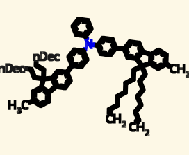 C=CCCCCCCC1(CCCCCCC=C)c2cc(C)ccc2-c2ccc(-c3ccc(N(c4ccccc4)c4ccc(-c5ccc6c(c5)C(CCCCCCCCCCCC)(CCCCCCCCCCCC)c5cc(C)ccc5-6)cc4)cc3)cc21